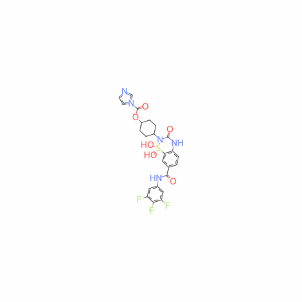 O=C(Nc1cc(F)c(F)c(F)c1)c1ccc2c(c1)S(O)(O)N(C1CCC(OC(=O)n3ccnc3)CC1)C(=O)N2